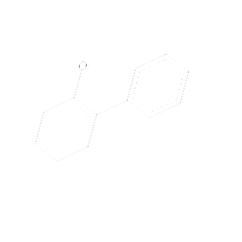 [O]C1=C(c2ccccc2)CCCC1